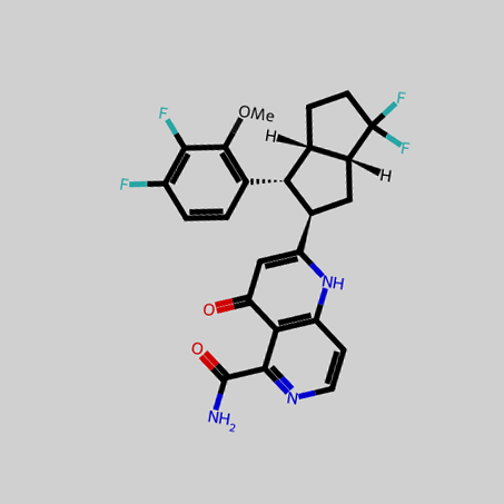 COc1c([C@@H]2[C@@H]3CCC(F)(F)[C@@H]3C[C@H]2c2cc(=O)c3c(C(N)=O)nccc3[nH]2)ccc(F)c1F